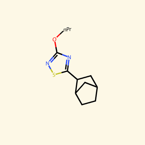 CCCOc1nsc(C2CC3CCC2C3)n1